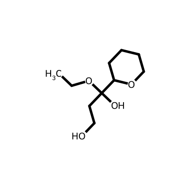 CCOC(O)(CCO)C1CCCCO1